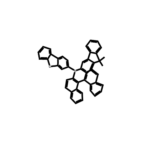 CC1(C)c2ccccc2-c2cc(N(c3ccc4c(c3)oc3ccccc34)c3ccc4ccccc4c3-c3cccc4ccccc34)ccc21